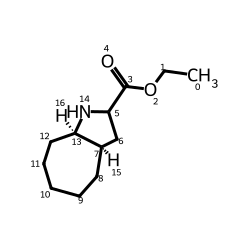 CCOC(=O)C1C[C@H]2CCCCC[C@H]2N1